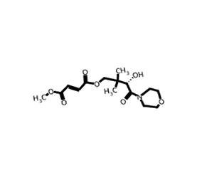 COC(=O)/C=C/C(=O)OCC(C)(C)[C@H](O)C(=O)N1CCOCC1